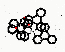 c1ccc2c(c1)c1ccccc1c1[c]([Pd]([c]3cccc4c5ccccc5c5ccccc5c34)([c]3cccc4c5ccccc5c5ccccc5c34)[c]3cccc4c5ccccc5c5ccccc5c34)cccc21